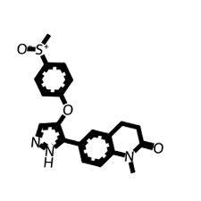 CN1C(=O)CCc2cc(-c3[nH]ncc3Oc3ccc([S+](C)[O-])cc3)ccc21